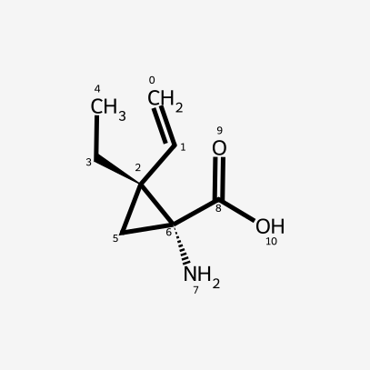 C=C[C@@]1(CC)C[C@]1(N)C(=O)O